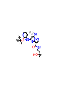 [2H]C([2H])([2H])Oc1ncccc1Nc1cc(NC)n2ncc(C(=O)NCCC3(O)CC3)c2n1